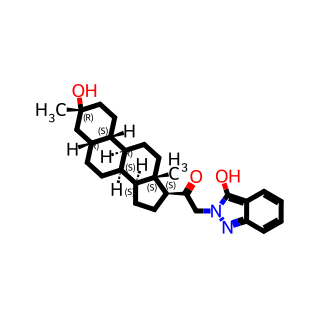 C[C@@]1(O)CC[C@H]2[C@H](CC[C@H]3[C@@H]2CC[C@]2(C)[C@@H](C(=O)Cn4nc5ccccc5c4O)CC[C@@H]32)C1